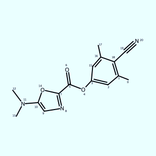 Cc1cc(OC(=O)c2ncc(N(C)C)o2)cc(C)c1C#N